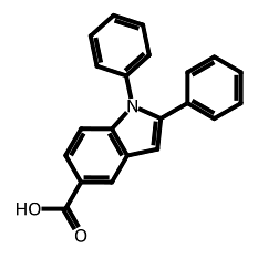 O=C(O)c1ccc2c(c1)cc(-c1ccccc1)n2-c1ccccc1